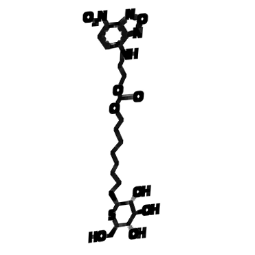 O=C(OCCCCCCCC[C@@H]1S[C@H](CO)[C@@H](O)[C@H](O)[C@H]1O)OCCNc1ccc([N+](=O)[O-])c2nonc12